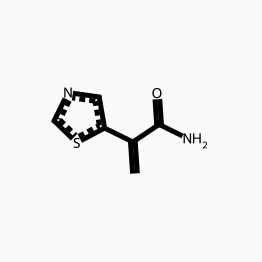 C=C(C(N)=O)c1cncs1